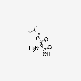 CC(C)COC(=O)N(N)C(=O)O